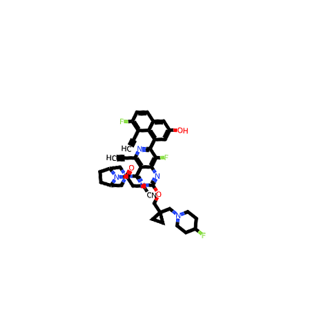 C#Cc1c(F)ccc2cc(O)cc(-c3nc(C#C)c4c(N5CC6CCC(C5)N6C(=O)CCC#N)nc(OCC5(CN6CCC(F)CC6)CC5)nc4c3F)c12